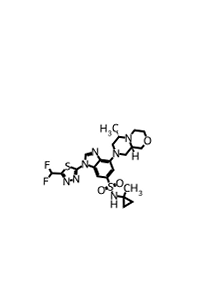 C[C@H]1CN(c2cc(S(=O)(=O)NC3(C)CC3)cc3c2ncn3-c2nnc(C(F)F)s2)C[C@H]2COCCN21